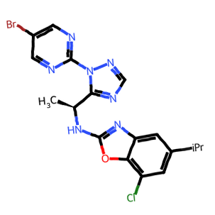 CC(C)c1cc(Cl)c2oc(N[C@@H](C)c3ncnn3-c3ncc(Br)cn3)nc2c1